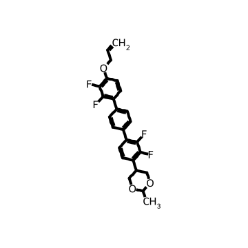 C=CCOc1ccc(-c2ccc(-c3ccc(C4COC(C)OC4)c(F)c3F)cc2)c(F)c1F